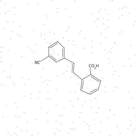 N#Cc1cccc(C=Cc2ccccc2C(=O)O)c1